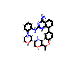 CC(Oc1ccc(-c2cccc3c(N)nc(Nc4ccccc4N4CCOCC4)nc23)cc1)C1CNCCO1